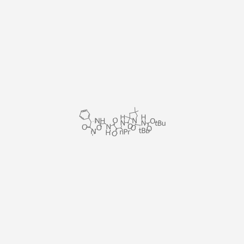 CCCC(NC(=O)C1(C)CC(C)(C)CN1C(=O)[C@H](NC(=O)OC(C)(C)C)C(C)(C)C)C(=O)C(=O)NCC(=O)N[C@H](C(=O)N(C)C)c1ccccc1